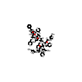 CC(CN(C(=O)C(C)(CN(C(=O)C(C)(CN(CC(C)(OCC1CCOCC1)C(=O)N(CC(C)(OC1CCOCC1)C(=O)Nc1cc(C(C)(C)C)on1)c1cc(C(C)(C)C)on1)C(=O)C(C)(C)C(=O)Nc1cc(C(C)(C)C)on1)OCC1CCOCC1)c1cc(C(C)(C)C)no1)OC1CCOCC1)c1cc(C(C)(C)C)no1)(OCC1CCOCC1)C(=O)Nc1nc(-c2ccccc2)n[nH]1